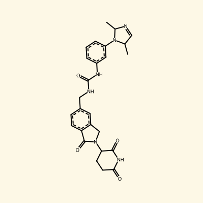 CC1C=NC(C)N1c1cccc(NC(=O)NCc2ccc3c(c2)CN(C2CCC(=O)NC2=O)C3=O)c1